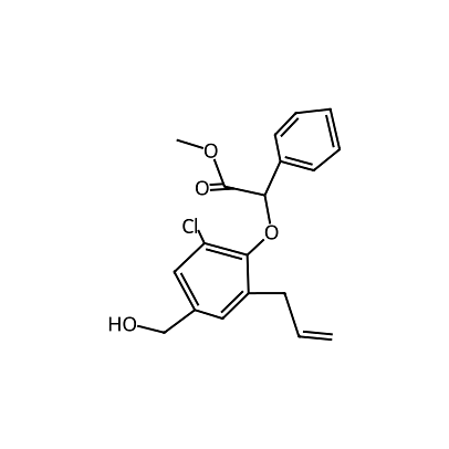 C=CCc1cc(CO)cc(Cl)c1OC(C(=O)OC)c1ccccc1